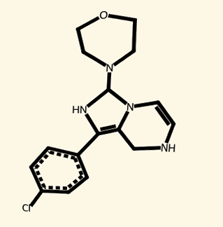 Clc1ccc(C2=C3CNC=CN3C(N3CCOCC3)N2)cc1